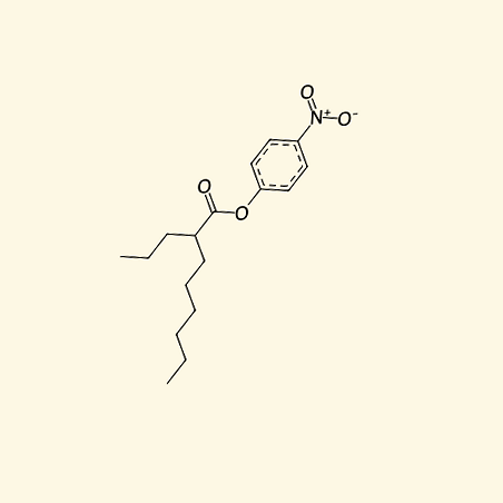 CCCCCCC(CCC)C(=O)Oc1ccc([N+](=O)[O-])cc1